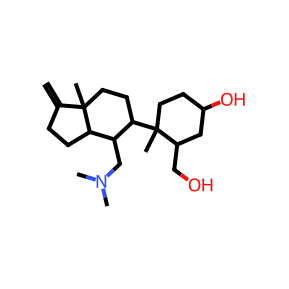 C=C1CCC2C(CN(C)C)C(C3(C)CCC(O)CC3CO)CCC12C